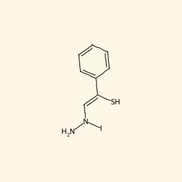 NN(I)/C=C(\S)c1ccccc1